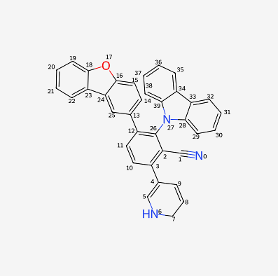 N#Cc1c(C2=CNCC=C2)ccc(-c2ccc3oc4ccccc4c3c2)c1-n1c2ccccc2c2ccccc21